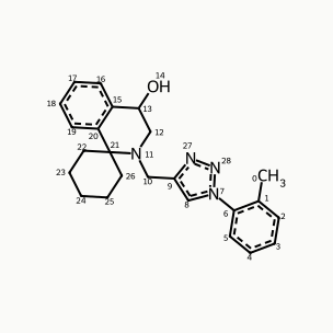 Cc1ccccc1-n1cc(CN2CC(O)c3ccccc3C23CCCCC3)nn1